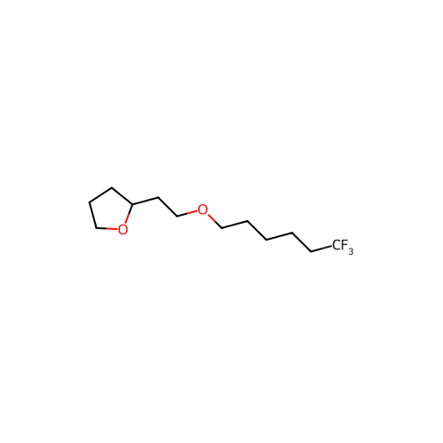 FC(F)(F)CCCCCOCCC1CCCO1